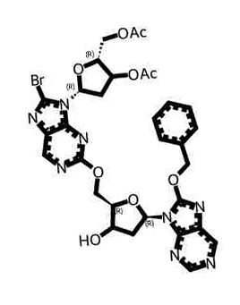 CC(=O)OC[C@H]1O[C@@H](n2c(Br)nc3cnc(OC[C@H]4O[C@@H](n5c(OCc6ccccc6)nc6cncnc65)CC4O)nc32)CC1OC(C)=O